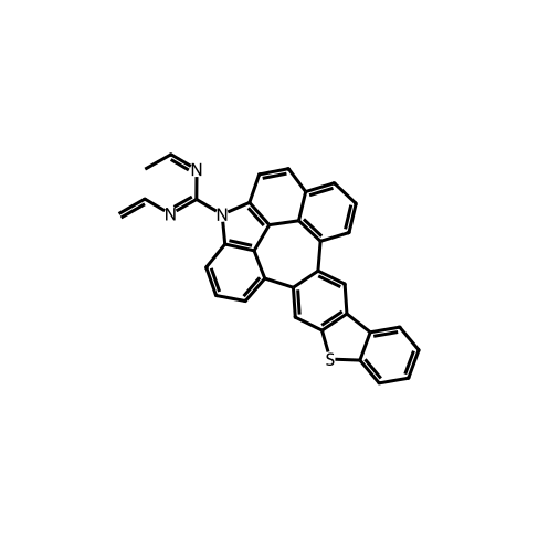 C=C/N=C(\N=C/C)n1c2cccc3c2c2c4c(cccc4ccc21)-c1cc2c(cc1-3)sc1ccccc12